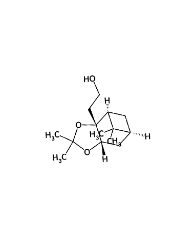 CC1(C)O[C@H]2C[C@@H]3C[C@@H](C3(C)C)[C@@]2(CCO)O1